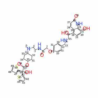 CN(CCNC(=O)COc1ccc(CNC[C@@H](O)c2ccc(O)c3[nH]c(=O)ccc23)cc1)C1CCC(OC(=O)C(O)(c2cccs2)c2cccs2)CC1